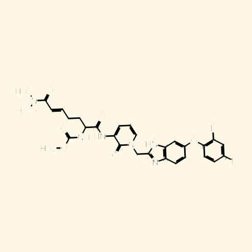 COC(=O)NC(CCC=CC(=O)N(C)C)C(=O)Nc1cccn(Cc2nc3ccc(Oc4ccc(F)cc4F)cc3[nH]2)c1=O